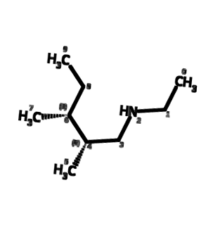 CCNC[C@H](C)[C@H](C)CC